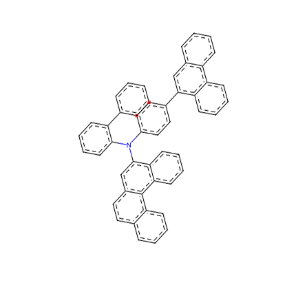 c1ccc(-c2ccccc2N(c2ccc(-c3cc4ccccc4c4ccccc34)cc2)c2cc3ccc4ccccc4c3c3ccccc23)cc1